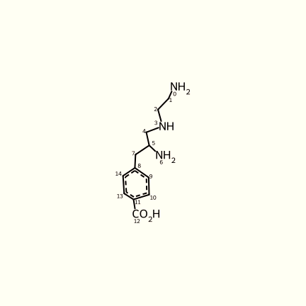 NCCNCC(N)Cc1ccc(C(=O)O)cc1